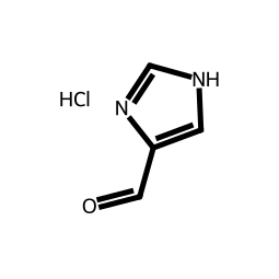 Cl.O=Cc1c[nH]cn1